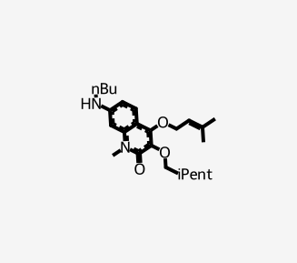 CCCCNc1ccc2c(OCC=C(C)C)c(OCC(C)CCC)c(=O)n(C)c2c1